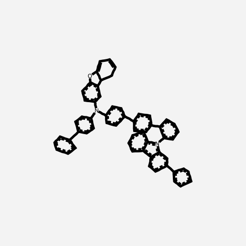 C1=CCC2C(=C1)Oc1ccc(N(c3ccc(-c4ccccc4)cc3)c3ccc(-c4ccc(-c5ccccc5-n5c6ccccc6c6ccc(-c7ccccc7)cc65)cc4)cc3)cc12